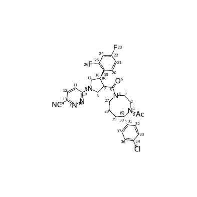 CC(=O)N1CCN(C(=O)C2CN(c3ccc(C#N)nn3)C[C@H]2c2ccc(F)cc2F)CCC[C@H]1c1ccc(Cl)cc1